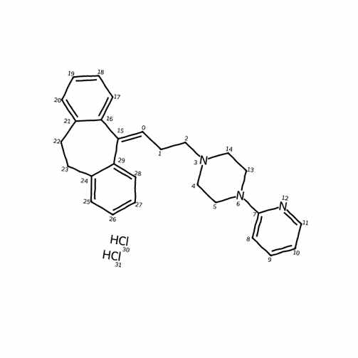 C(CCN1CCN(c2ccccn2)CC1)=C1c2ccccc2CCc2ccccc21.Cl.Cl